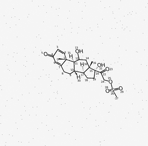 C[C@]12C=CC(=O)C=C1CC[C@@H]1[C@@H]2C(O)C[C@@]2(C)[C@H]1CC[C@]2(O)C(=O)COS(C)(=O)=O